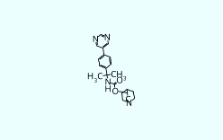 CC(C)(NC(=O)OC1CN2CCC1CC2)c1ccc(-c2cncnc2)cc1